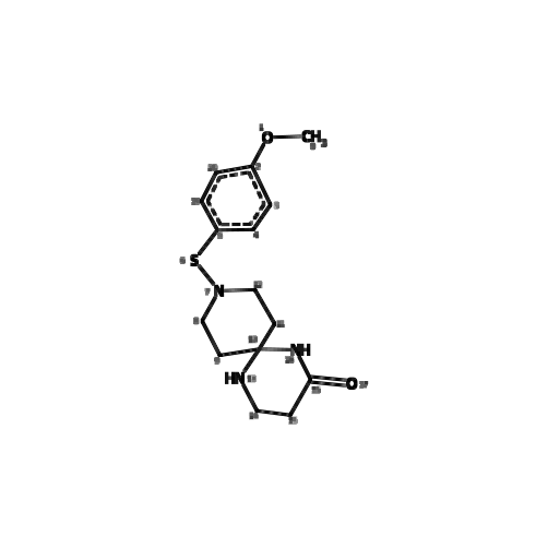 COc1ccc(SN2CCC3(CC2)NCCC(=O)N3)cc1